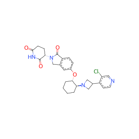 O=C1CC[C@H](N2Cc3cc(O[C@H]4CCCC[C@@H]4N4CC(c5ccncc5Cl)C4)ccc3C2=O)C(=O)N1